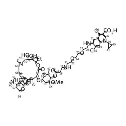 CC[C@H]1OC(=O)[C@H](C)[C@@H](O[C@H]2C[C@@](C)(OC)[C@@H](OC(=O)CCNCCOCCOCCNc3cc4c(=O)c(C(=O)O)cn(C5CC5)c4cc3Cl)[C@H](C)O2)[C@H](C)[C@@H](O[C@@H]2O[C@H](C)C[C@H](N(C)C)[C@H]2O)[C@](C)(O)CCCN(C)[C@H](C)[C@@H](O)[C@]1(C)O